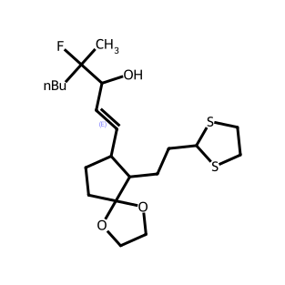 CCCCC(C)(F)C(O)/C=C/C1CCC2(OCCO2)C1CCC1SCCS1